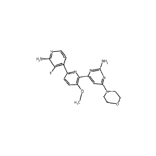 COc1ccc(-c2ccnc(N)c2F)nc1-c1cc(N2CCOCC2)nc(N)n1